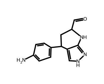 Nc1ccc(C2CC(C=O)Nc3n[nH]cc32)cc1